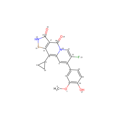 COc1cc(-c2cc3c(C4CC4)c4s[nH]c(=O)c4c(=O)n3cc2F)ccc1O